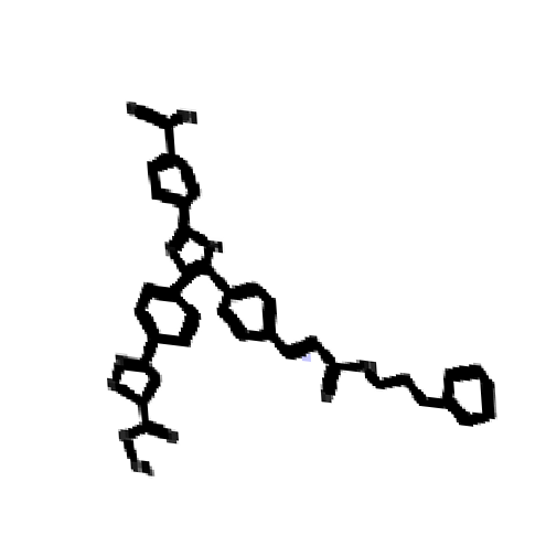 COC(=O)C1CC(c2ccc(-c3nc(-c4ccc(C(=O)O)cc4)[nH]c3-c3ccc(/C=C/C(=O)NCCCc4ccccc4)cc3)cc2)=NO1